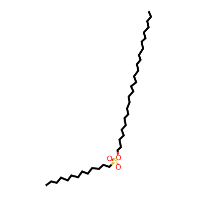 CCCCCCCCCCCCCCCCCCCCCCCCCCCOS(=O)(=O)CCCCCCCCCCCCC